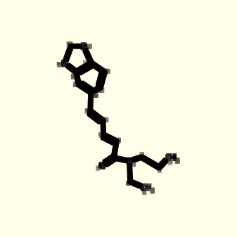 CCCN(CC)C(=O)/C=C/C=C/c1ccc2c(c1)OCO2